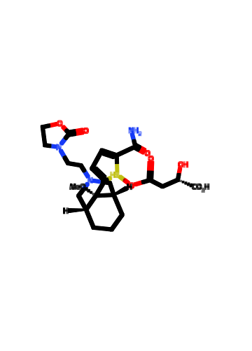 CO[C@@]1(C2=CC=C(C(N)=O)[SH]2OC(=O)C[C@H](O)C(=O)O)[C@@H]2CCC[C@H]1CN(CCN1CCOC1=O)C2